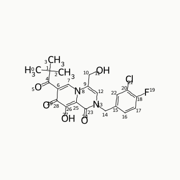 CC(C)(C)C(=O)c1cn2c(CO)cn(Cc3ccc(F)c(Cl)c3)c(=O)c2c(O)c1=O